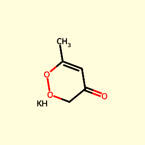 CC1=CC(=O)COO1.[KH]